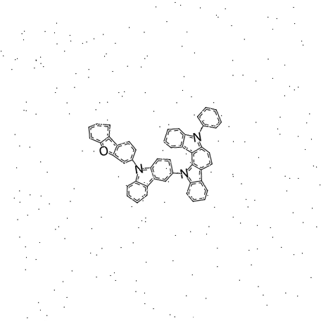 c1ccc(-n2c3ccccc3c3c2ccc2c4ccccc4n(-c4ccc5c(c4)c4ccccc4n5-c4ccc5c(c4)oc4ccccc45)c23)cc1